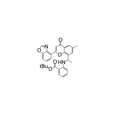 Cc1cc(C(C)Nc2ccccc2C(=O)OC(C)(C)C)c2oc(-c3cccc4ocnc34)cc(=O)c2c1